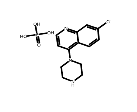 Clc1ccc2c(N3CCNCC3)ccnc2c1.O=P(O)(O)O